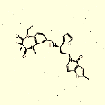 CCN1C(=O)C(C)(C)C(=O)N(C)c2cc(CNC(CCn3ccc4oc(C)cc4c3=O)c3cccs3)ccc21